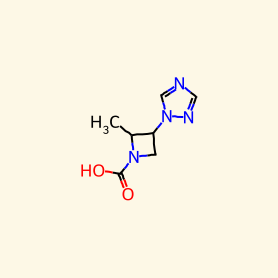 CC1C(n2cncn2)CN1C(=O)O